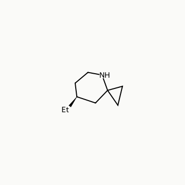 CC[C@H]1CCNC2(CC2)C1